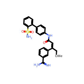 COC/C(=C/C(=O)Nc1ccc(-c2ccccc2S(N)(=O)=O)cc1)c1cccc(C(=N)N)c1